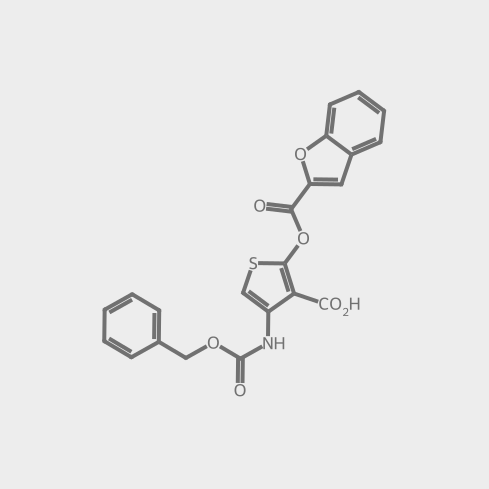 O=C(Nc1csc(OC(=O)c2cc3ccccc3o2)c1C(=O)O)OCc1ccccc1